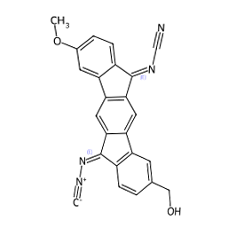 [C-]#[N+]/N=c1\c2ccc(CO)cc2c2cc3/c(=N/C#N)c4ccc(OC)cc4c3cc12